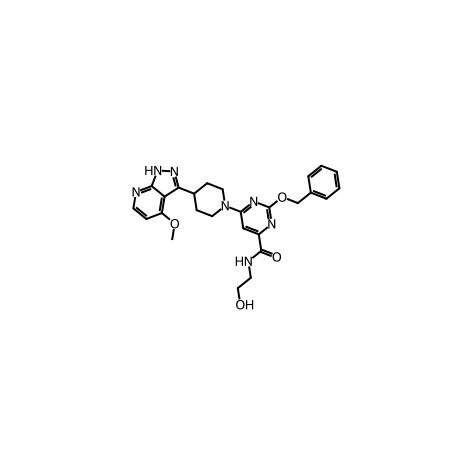 COc1ccnc2[nH]nc(C3CCN(c4cc(C(=O)NCCO)nc(OCc5ccccc5)n4)CC3)c12